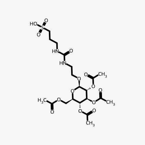 CC(=O)OC[C@H]1O[C@@H](OCCNC(=O)NCCCS(=O)(=O)O)[C@H](OC(C)=O)[C@@H](OC(C)=O)[C@@H]1OC(C)=O